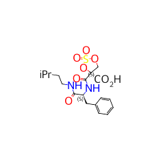 CC(C)CCNC(=O)[C@H](Cc1ccccc1)NC(=O)[C@]1(C(=O)O)COS(=O)(=O)O1